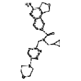 Nc1nc2ccc(C(=O)N(Cc3ccc(N4CCOCC4)nn3)CC3CC3)cc2c2c1COC2